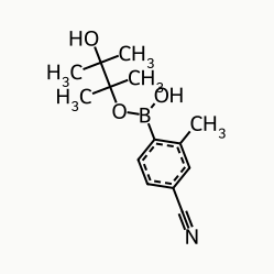 Cc1cc(C#N)ccc1B(O)OC(C)(C)C(C)(C)O